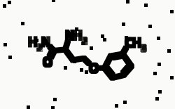 Cc1cccc(OCCC(N)C(N)=O)c1